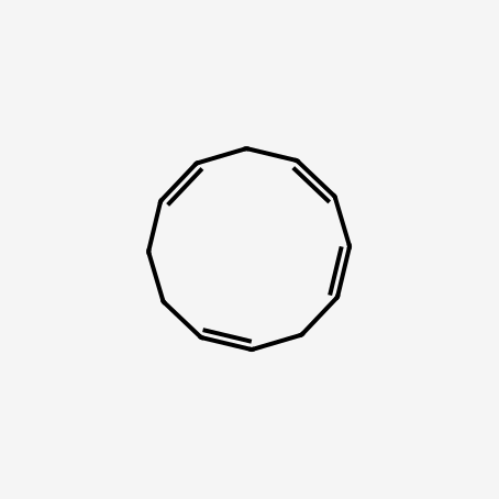 C1=CCC=CCCC=CCC=C1